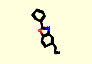 CC(C)(C)Cc1ccc2oc(-c3ccccc3)nc2c1